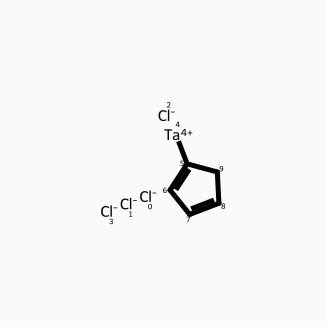 [Cl-].[Cl-].[Cl-].[Cl-].[Ta+4][C]1=CC=CC1